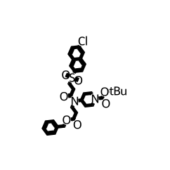 CC(C)(C)OC(=O)N1CCC(N(CCC(=O)OCc2ccccc2)C(=O)CCS(=O)(=O)c2ccc3cc(Cl)ccc3c2)CC1